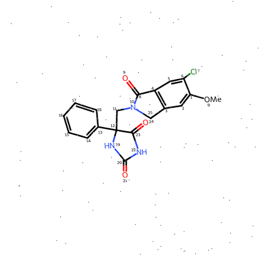 COc1cc2c(cc1Cl)C(=O)N(CC1(c3ccccc3)NC(=O)NC1=O)C2